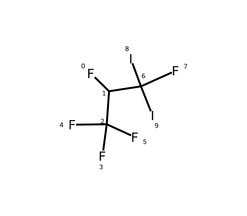 FC(C(F)(F)F)C(F)(I)I